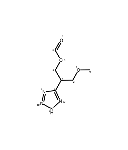 COCC(COC=O)c1nn[nH]n1